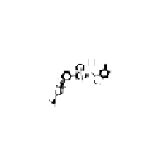 N#CC1CN(S(=O)(=O)c2cccc(C(=O)N3CCC[C@@H]3C(=O)N[C@H](CO)c3ccc(Cl)c(F)c3)c2)C1